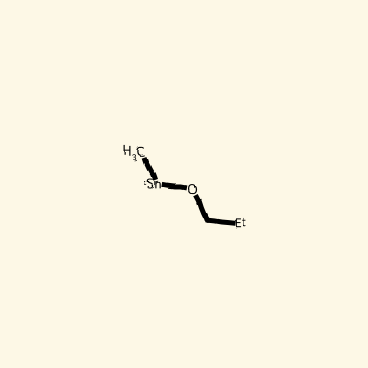 CCC[O][Sn][CH3]